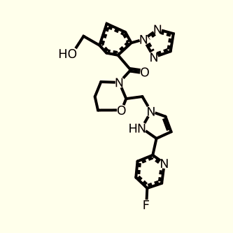 O=C(c1cc(CO)ccc1-n1nccn1)N1CCCOC1CN1C=CC(c2ccc(F)cn2)N1